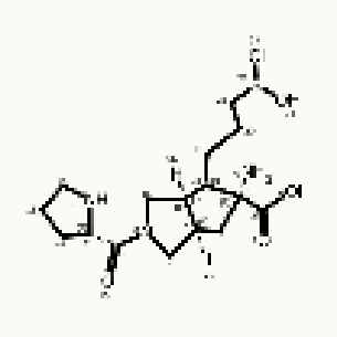 N[C@]1(C(=O)O)C[C@H]2CN(C(=O)[C@@H]3CCCN3)C[C@H]2[C@H]1CCCB(O)O